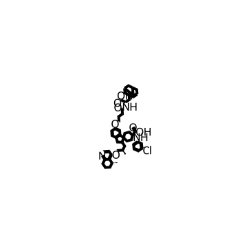 C[C@@H](COc1ccnc2c1[C@H](C)CCC2)CC1Cc2ccc(OCCCC(=O)NC(CC34CC5CC(CC(C5)C3)C4)C(=O)O)cc2C12CCC(Nc1cccc(Cl)c1)(C(=O)O)CC2